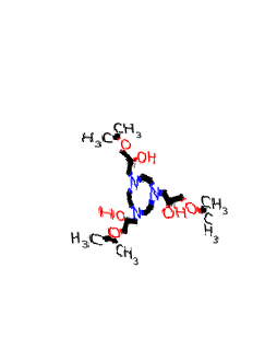 CC(C)OC[C@@H](O)CN1CCN(C[C@H](O)COC(C)C)CCN(C[C@H](O)COC(C)C)CC1